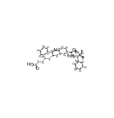 O=C(O)CCCCc1cc2cc(C(=O)NC(c3ccccc3)C(F)(F)F)ccc2nc1-c1ccccc1